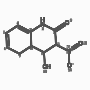 O=C1NC2=CC=CCC2C(O)C1[N+](=O)[O-]